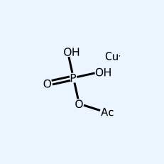 CC(=O)OP(=O)(O)O.[Cu]